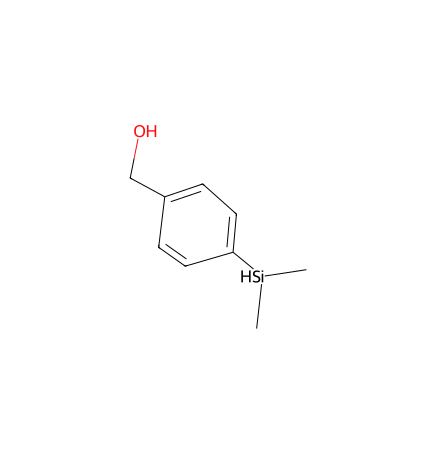 C[SiH](C)c1ccc(CO)cc1